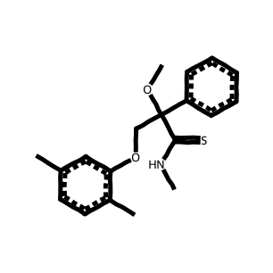 CNC(=S)C(COc1cc(C)ccc1C)(OC)c1ccccc1